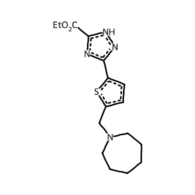 CCOC(=O)c1nc(-c2ccc(CN3CCCCCC3)s2)n[nH]1